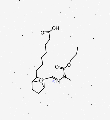 CCCOC(=O)N(C)/N=C/C1C2CCC(O2)C1CCCCCCC(=O)O